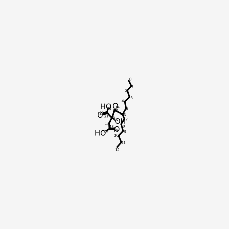 CCCCCCC(CCCCCC)C(=O)C(O)(CC(=O)O)C(=O)O